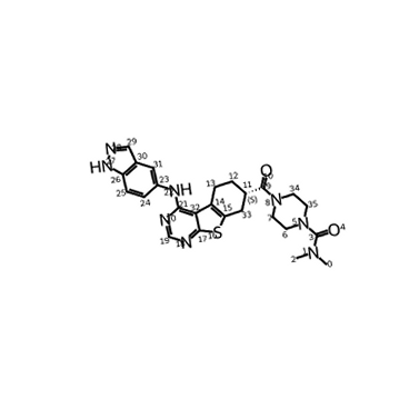 CN(C)C(=O)N1CCN(C(=O)[C@H]2CCc3c(sc4ncnc(Nc5ccc6[nH]ncc6c5)c34)C2)CC1